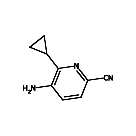 N#Cc1ccc(N)c(C2CC2)n1